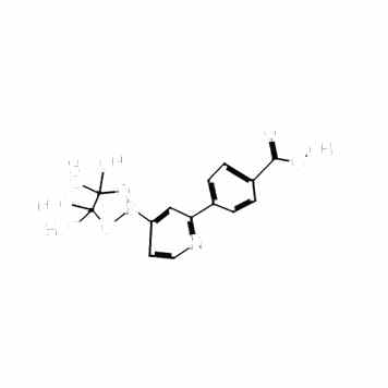 COC(=O)c1ccc(-c2cc(B3OC(C)(C)C(C)(C)O3)ccn2)cc1